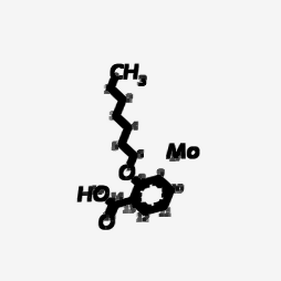 CCCCCCCOc1ccccc1C(=O)O.[Mo]